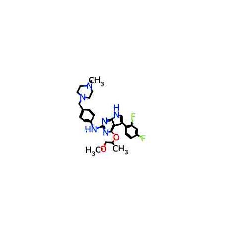 COCC(C)Oc1nc(Nc2ccc(CN3CCN(C)CC3)cc2)nc2[nH]cc(-c3ccc(F)cc3F)c12